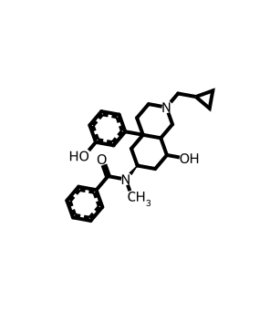 CN(C(=O)c1ccccc1)[C@@H]1CC(O)C2CN(CC3CC3)CCC2(c2cccc(O)c2)C1